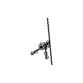 CCCCCCCCCCCCCCCCCCC(CCCCCCCCCCCCCCCCC)OC(=O)N[C@H](CCC(=O)NCCCOCCOC)C(=O)NCCCOCCOC